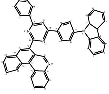 C1=CC2c3ccccc3N(c3ccc(-c4nc(-c5ccccc5)nc(-c5cc6ccccc6c6c5cnc5ccccc56)n4)cc3)C2C=C1